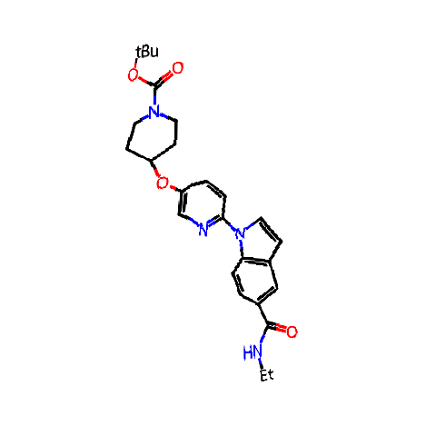 CCNC(=O)c1ccc2c(ccn2-c2ccc(OC3CCN(C(=O)OC(C)(C)C)CC3)cn2)c1